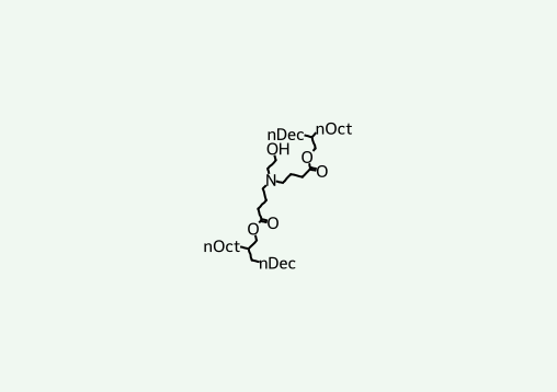 CCCCCCCCCCCC(CCCCCCCC)COC(=O)CCCN(CCO)CCCC(=O)OCC(CCCCCCCC)CCCCCCCCCC